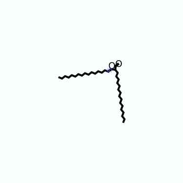 CCCCCCCCCCCCCCC/C=C1\OC(=O)C1CCCCCCCCCCCCCCCC